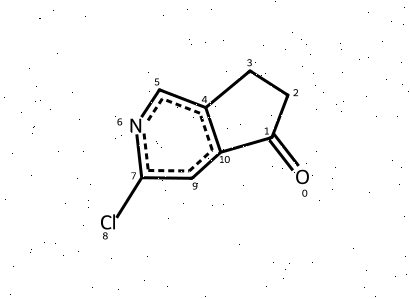 O=C1CCc2cnc(Cl)cc21